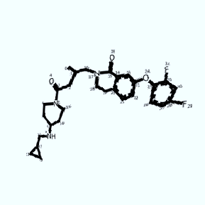 CC(CC(=O)N1CCC(NCC2CC2)CC1)CN1CCc2ccc(Oc3ccc(F)cc3F)cc2C1=O